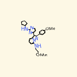 COCCNc1cccc2c(-c3ccnc(NC4CCCC4)n3)c(-c3ccc(OC)cc3)nn12